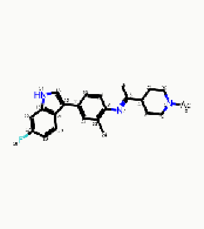 CC(=O)N1CCC(/C(C)=N/c2ccc(-c3c[nH]c4cc(F)ccc34)cc2C)CC1